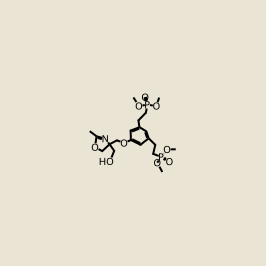 COP(=O)(CCc1cc(CCP(=O)(OC)OC)cc(OCC2(CO)COC(C)=N2)c1)OC